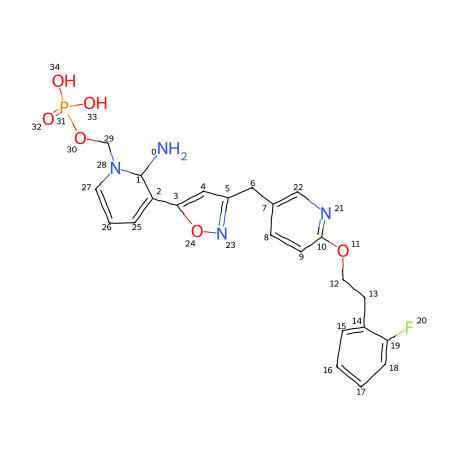 NC1C(c2cc(Cc3ccc(OCCc4ccccc4F)nc3)no2)=CC=CN1COP(=O)(O)O